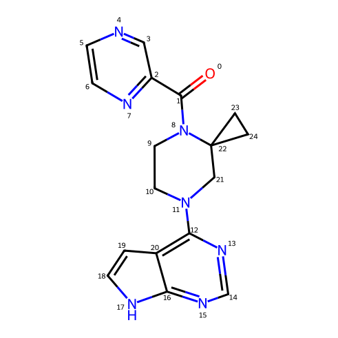 O=C(c1cnccn1)N1CCN(c2ncnc3[nH]ccc23)CC12CC2